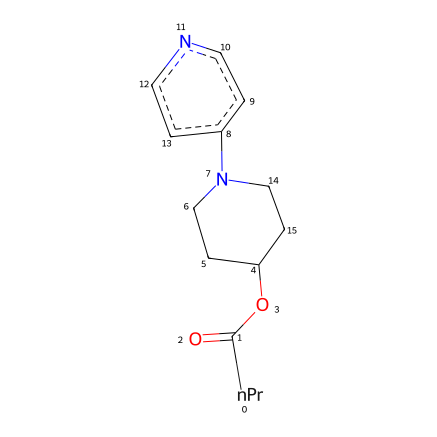 CCCC(=O)OC1CCN(c2ccncc2)CC1